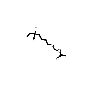 CCC(F)(F)CCCCSCOC(C)=O